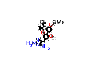 CCOc1cc(Cc2cnc(N)nc2N)cc(OCC2(C=CC#N)CC2)c1-c1ccc(OCOC)cc1